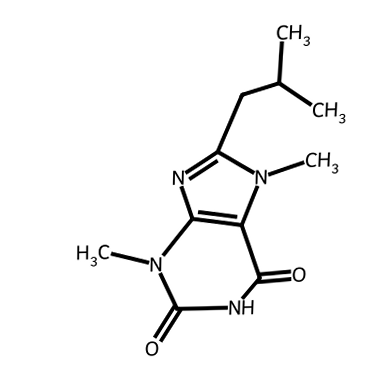 CC(C)Cc1nc2c(c(=O)[nH]c(=O)n2C)n1C